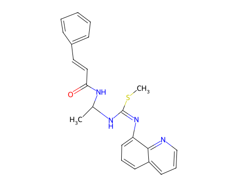 CS/C(=N/c1cccc2cccnc12)NC(C)NC(=O)/C=C/c1ccccc1